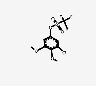 COc1cc(OS(=O)(=O)C(F)(F)F)cc(Cl)c1OC